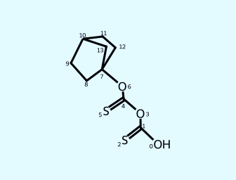 OC(=S)OC(=S)OC12CCC(CC1)C2